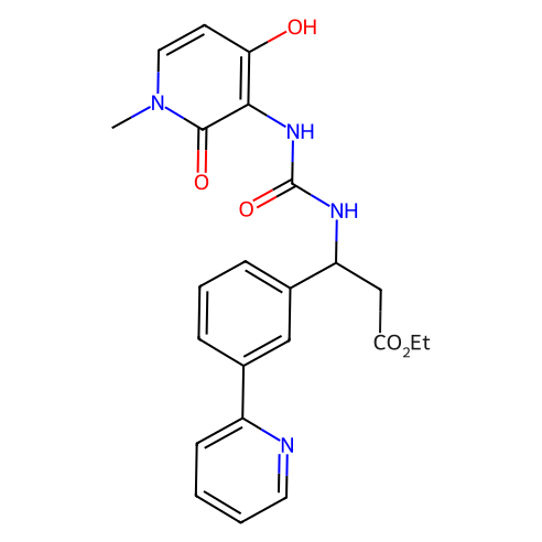 CCOC(=O)CC(NC(=O)Nc1c(O)ccn(C)c1=O)c1cccc(-c2ccccn2)c1